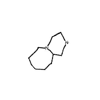 C1CCC2C[N]CCN2CC1